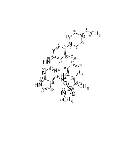 CCN1CCN(c2ccc(Nc3nc(Nc4ccccc4C(C)S(=O)(=O)NC)c4cc[nH]c4n3)cc2F)CC1